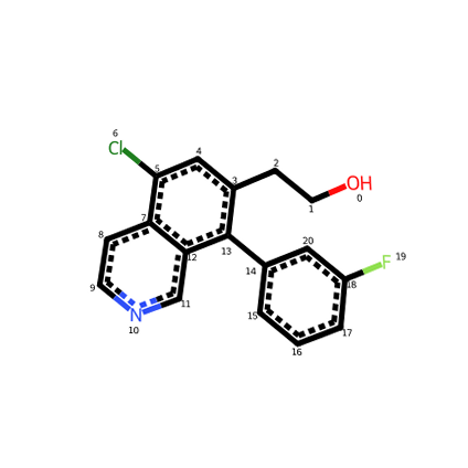 OCCc1cc(Cl)c2ccncc2c1-c1cccc(F)c1